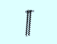 CCCCCCCCCCC/C=C/C=C/C=C/C=C/C=C/C=C/C(=O)O.CCCCCCCCCCCCC/C=C/C=C/C=C/C=C/C=C/C(=O)O